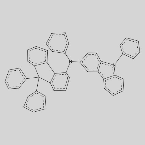 c1ccc(N(c2ccc3c(c2)c2ccccc2n3-c2ccccc2)c2cccc3c2-c2ccccc2C3(c2ccccc2)c2ccccc2)cc1